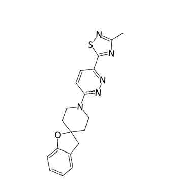 Cc1nsc(-c2ccc(N3CCC4(CC3)Cc3ccccc3O4)nn2)n1